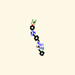 Fc1ccccc1CNC(=S)N/N=C/c1ccc(-c2ncn(-c3ccc(OC(F)(F)F)cc3)n2)cc1